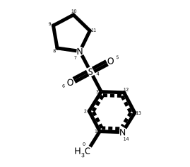 Cc1cc(S(=O)(=O)N2CCCC2)ccn1